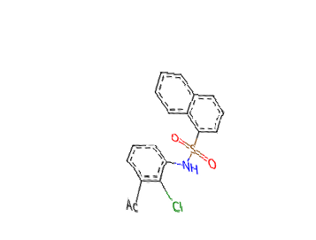 CC(=O)c1cccc(NS(=O)(=O)c2cccc3ccccc23)c1Cl